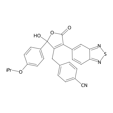 CC(C)Oc1ccc(C2(O)OC(=O)C(c3ccc4nsnc4c3)=C2Cc2ccc(C#N)cc2)cc1